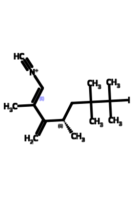 C#[N+]/C=C(\C)C(=C)[C@@H](C)CC(C)(C)C(C)(C)I